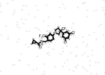 O=C(NCc1ccc(N2CCC(c3cc(Cl)cc(Cl)c3)(C(F)(F)F)C2)cc1C(F)(F)F)C1CC1